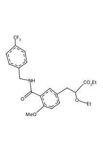 CCOC(=O)C(Cc1ccc(OC)c(C(=O)NCc2ccc(C(F)(F)F)cc2)c1)OCC